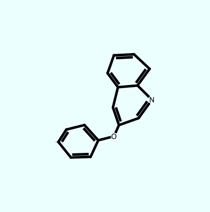 [c]1ccc(Oc2cnc3ccccc3c2)cc1